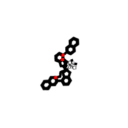 CCCC[C]1([Zr]([Cl])([Cl])(=[Si](C)C)[C]2(CCCC)Cc3cccc(-c4ccc5ccccc5c4)c3C2)Cc2cccc(-c3ccc4ccccc4c3)c2C1